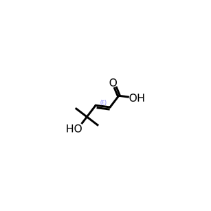 CC(C)(O)/C=C/C(=O)O